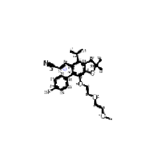 COCCOCCOc1c2c(c(C(C)C)c(/C=C/C#N)c1-c1ccc(F)cc1)CC(C)(C)O2